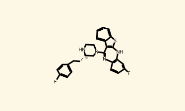 Fc1ccc(CC[C@H]2CN(C3=Nc4ccc(F)cc4Nc4sc5ccccc5c43)CCN2)cc1